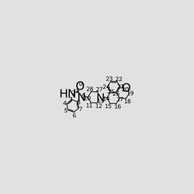 O=c1[nH]c2ccccc2n1C1CCN(C2CCC3CCOc4cccc2c43)CC1